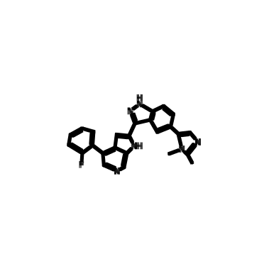 Cc1ncc(-c2ccc3[nH]nc(-c4cc5c(-c6ccccc6F)cncc5[nH]4)c3c2)n1C